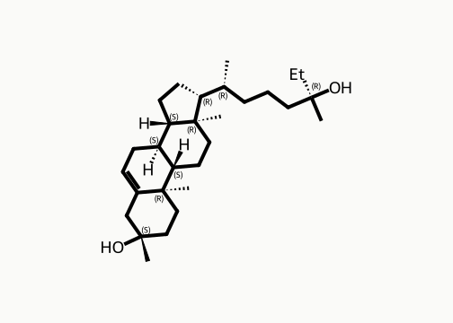 CC[C@@](C)(O)CCC[C@@H](C)[C@H]1CC[C@H]2[C@@H]3CC=C4C[C@@](C)(O)CC[C@]4(C)[C@H]3CC[C@]12C